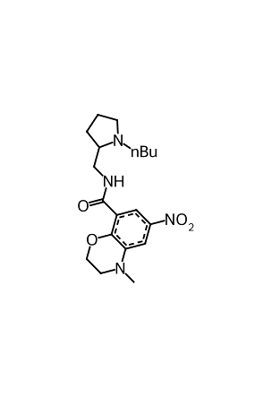 CCCCN1CCCC1CNC(=O)c1cc([N+](=O)[O-])cc2c1OCCN2C